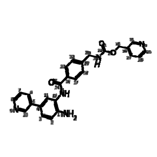 Nc1ccc(-c2cccnc2)cc1NC(=O)c1ccc(CNC(=O)OCc2cccnc2)cc1